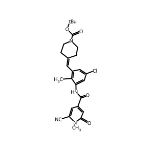 Cc1c(C=C2CCN(C(=O)OC(C)(C)C)CC2)cc(Cl)cc1NC(=O)c1cc(C#N)n(C)c(=O)c1